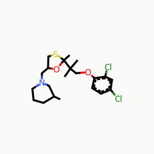 CC1CCCN(CC2CSC(C)(C(C)(C)COc3ccc(Cl)cc3Cl)O2)C1